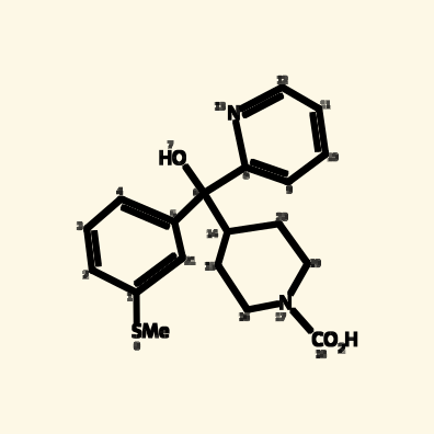 CSc1cccc(C(O)(c2ccccn2)C2CCN(C(=O)O)CC2)c1